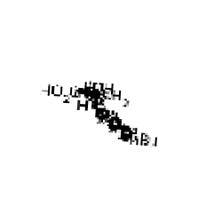 CCCCc1ccc(-c2ccc(N3CCC(Cc4nc(C)c(O)c(C(=O)NCC(=O)O)n4)CC3)cc2)cc1